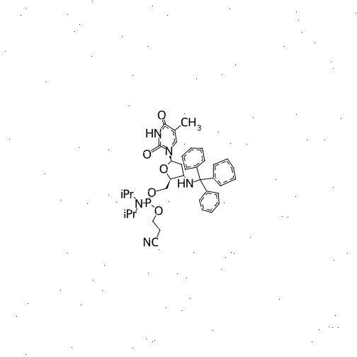 Cc1cn([C@H]2C[C@H](NC(c3ccccc3)(c3ccccc3)c3ccccc3)[C@@H](COP(OCCC#N)N(C(C)C)C(C)C)O2)c(=O)[nH]c1=O